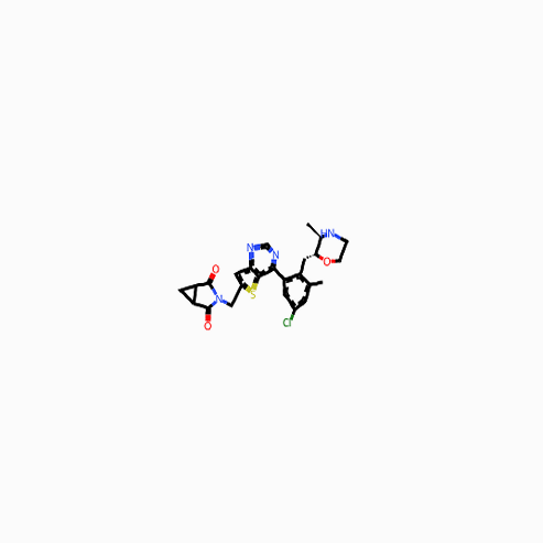 Cc1cc(Cl)cc(-c2ncnc3cc(CN4C(=O)C5CC5C4=O)sc23)c1C[C@H]1OCCN[C@@H]1C